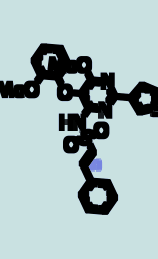 COc1ccccc1Oc1c(NS(=O)(=O)/C=C/c2ccccc2)nc(-c2ccsc2)nc1OC